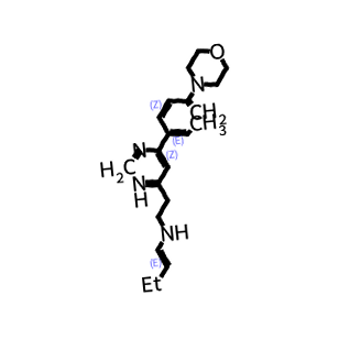 C=NC(=C\C(=N)CCN/C=C/CC)/C(/C=C\C(=C)N1CCOCC1)=C/C